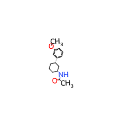 COc1cccc([C@H]2CCC[C@@H](NC(C)=O)C2)c1